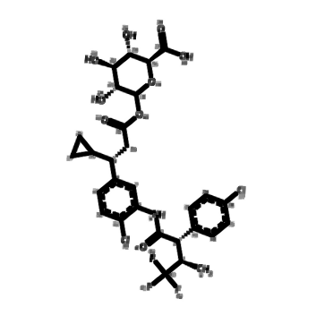 C[C@H]([C@H](C(=O)Nc1cc([C@@H](CC(=O)OC2O[C@H](C(=O)O)[C@@H](O)[C@H](O)[C@H]2O)C2CC2)ccc1Cl)c1ccc(Cl)cc1)C(F)(F)F